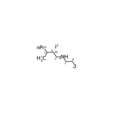 CCCC(C)[C@H](I)CNCCI